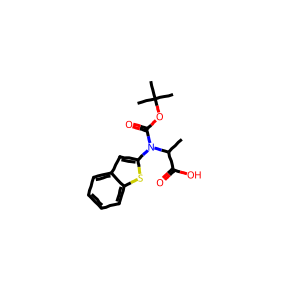 CC(C(=O)O)N(C(=O)OC(C)(C)C)c1cc2ccccc2s1